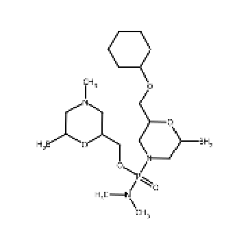 BC1CN(C)CC(COP(=O)(N(C)C)N2CC(B)OC(COC3CCCCC3)C2)O1